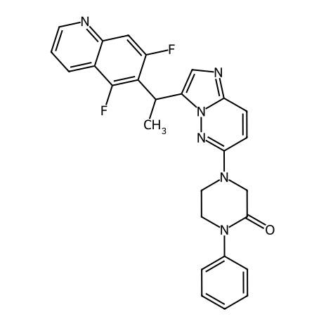 CC(c1c(F)cc2ncccc2c1F)c1cnc2ccc(N3CCN(c4ccccc4)C(=O)C3)nn12